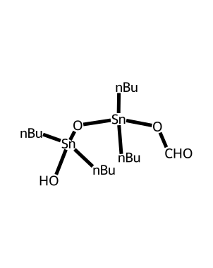 CCC[CH2][Sn]([OH])([CH2]CCC)[O][Sn]([CH2]CCC)([CH2]CCC)[O]C=O